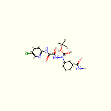 CNC(=O)[C@H]1CCCC(N(NC(=O)C(=O)Nc2ccc(Cl)cn2)C(=O)OC(C)(C)C)C1